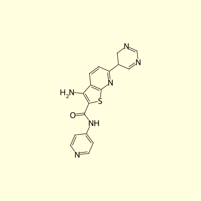 Nc1c(C(=O)Nc2ccncc2)sc2nc(C3C=NC=NC3)ccc12